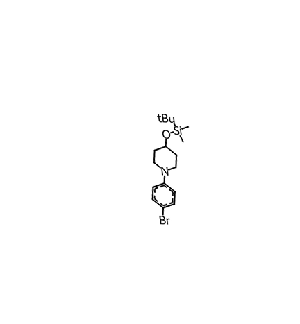 CC(C)(C)[Si](C)(C)OC1CCN(c2ccc(Br)cc2)CC1